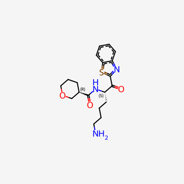 NCCCC[C@H](NC(=O)[C@@H]1CCCOC1)C(=O)c1nc2ccccc2s1